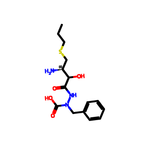 CCCSC[C@@H](N)C(O)C(=O)NN(Cc1ccccc1)C(=O)O